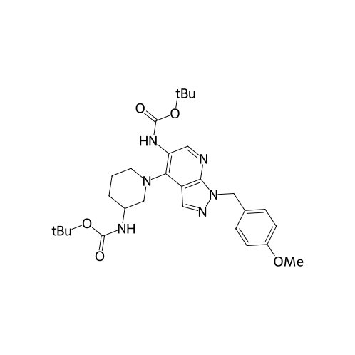 COc1ccc(Cn2ncc3c(N4CCCC(NC(=O)OC(C)(C)C)C4)c(NC(=O)OC(C)(C)C)cnc32)cc1